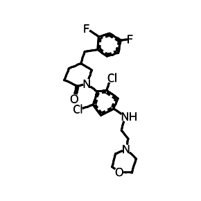 O=C1CCC(Cc2ccc(F)cc2F)CN1c1c(Cl)cc(NCCN2CCOCC2)cc1Cl